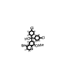 COc1cc(C(O)(c2ccc(Cl)cc2)c2ccc(Cl)cc2)cc2c(Br)ccnc12